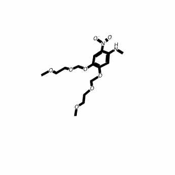 CNc1cc(OCOCCOC)c(OCOCCOC)cc1[N+](=O)[O-]